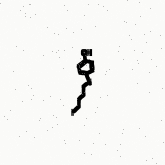 Oc1ccc(SCCCCI)cc1